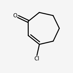 O=C1C=C(Cl)CCCC1